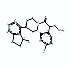 CNCC(C(=O)N1CCN(c2ncnc3c2C(C)CC3)CC1)c1ccc(F)cc1